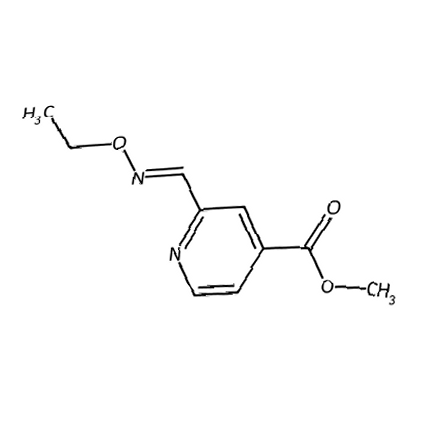 CCO/N=C/c1cc(C(=O)OC)ccn1